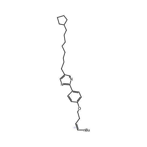 CCCC/C=C\CCOc1ccc(-c2ncc(CCCCCCCCC3CCCC3)cn2)cc1